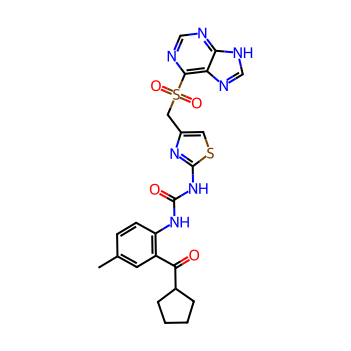 Cc1ccc(NC(=O)Nc2nc(CS(=O)(=O)c3ncnc4[nH]cnc34)cs2)c(C(=O)C2CCCC2)c1